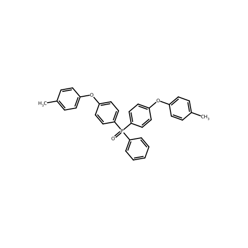 Cc1ccc(Oc2ccc(P(=O)(c3ccccc3)c3ccc(Oc4ccc(C)cc4)cc3)cc2)cc1